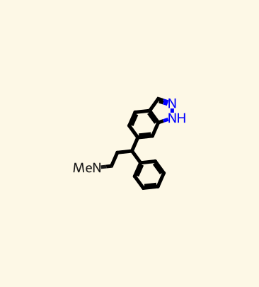 CNCCC(c1ccccc1)c1ccc2cn[nH]c2c1